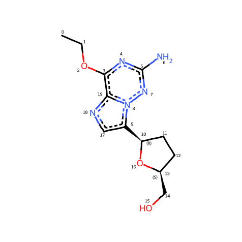 CCOc1nc(N)nn2c([C@H]3CC[C@@H](CO)O3)cnc12